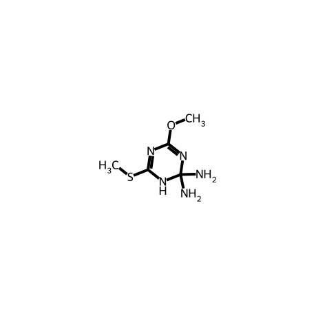 COC1=NC(N)(N)NC(SC)=N1